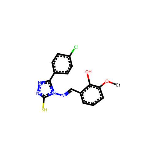 CCOc1cccc(/C=N/n2c(S)nnc2-c2ccc(Cl)cc2)c1O